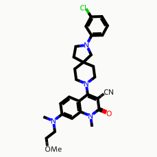 COCCN(C)c1ccc2c(N3CCC4(CCN(c5cccc(Cl)c5)C4)CC3)c(C#N)c(=O)n(C)c2c1